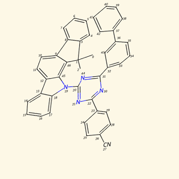 CC1(C)c2ccccc2-c2ccc3c4ccccc4n(-c4nc(-c5ccc(C#N)cc5)nc(-c5cccc(-c6ccccc6)c5)n4)c3c21